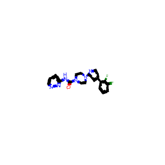 O=C(Nc1cccnn1)N1CCN(c2cc(-c3cccc(F)c3F)ccn2)CC1